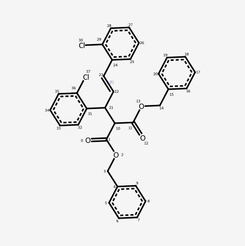 O=C(OCc1ccccc1)C(C(=O)OCc1ccccc1)C(/C=C/c1ccccc1Cl)c1ccccc1Cl